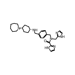 O=C(c1ncc[nH]1)N(Cc1ccc(CN[C@H]2CC[C@H](N3CCCCCC3)CC2)cc1)Cc1ncc[nH]1